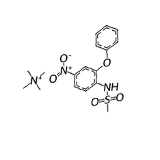 CS(=O)(=O)Nc1ccc([N+](=O)[O-])cc1Oc1ccccc1.C[N+](C)(C)C